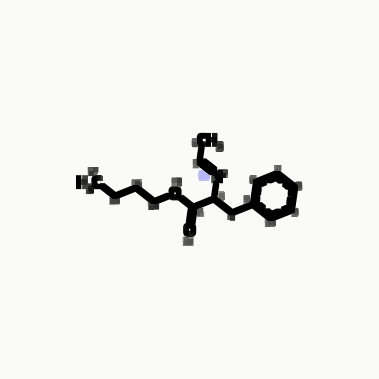 C/C=N/C(Cc1ccccc1)C(=O)OCCCC